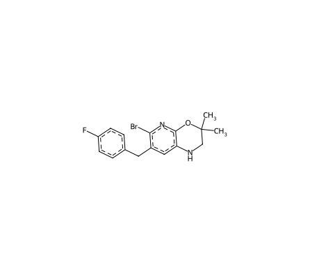 CC1(C)CNc2cc(Cc3ccc(F)cc3)c(Br)nc2O1